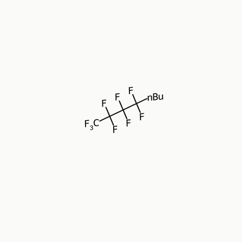 CC[CH]CC(F)(F)C(F)(F)C(F)(F)C(F)(F)F